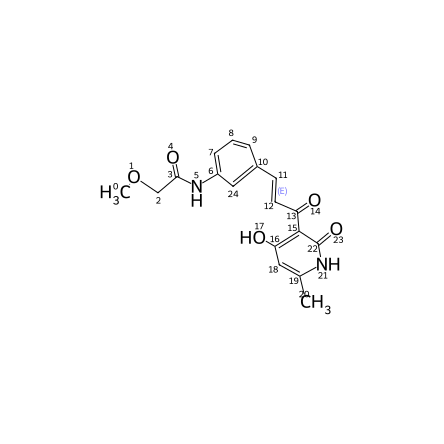 COCC(=O)Nc1cccc(/C=C/C(=O)c2c(O)cc(C)[nH]c2=O)c1